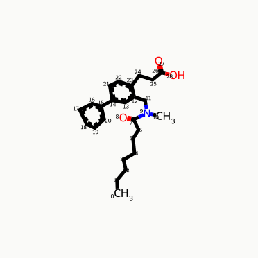 CCCCCCCC(=O)N(C)Cc1cc(-c2ccccc2)ccc1CCC(=O)O